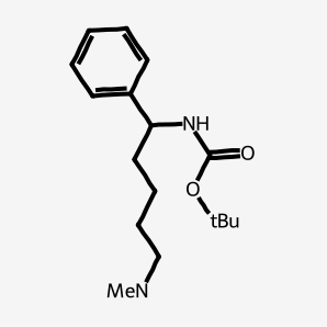 CNCCCCC(NC(=O)OC(C)(C)C)c1ccccc1